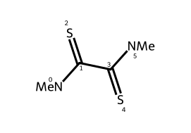 CNC(=S)C(=S)NC